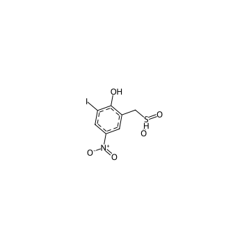 O=[N+]([O-])c1cc(I)c(O)c(C[SH](=O)=O)c1